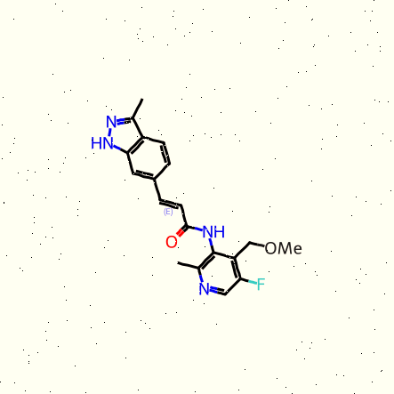 COCc1c(F)cnc(C)c1NC(=O)/C=C/c1ccc2c(C)n[nH]c2c1